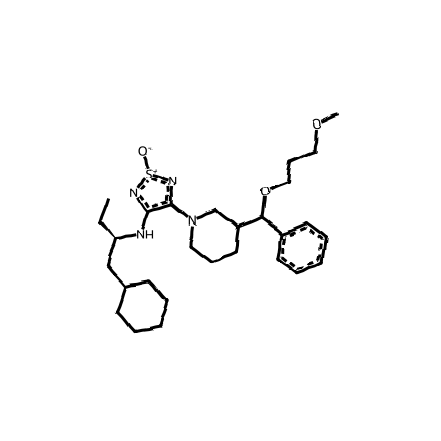 CC[C@H](CC1CCCCC1)Nc1n[s+]([O-])nc1N1CCCC(C(OCCCOC)c2ccccc2)C1